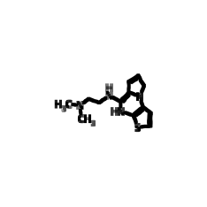 CN(C)CCNC1=C2C=CCN2c2ccsc2N1